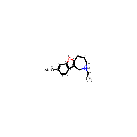 COc1ccc2c3c(oc2c1)CCCN(CC(F)(F)F)C3